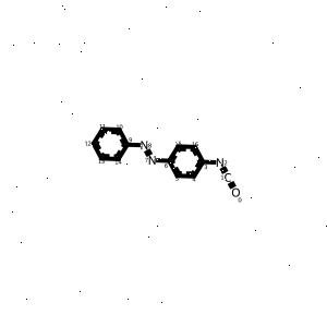 O=C=Nc1ccc(/N=N/c2ccccc2)cc1